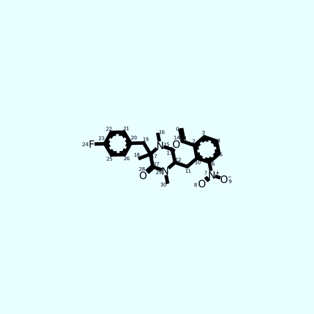 C=Cc1cccc([N+](=O)[O-])c1CC1C(=O)N(C)C(C)(Cc2ccc(F)cc2)C(=O)N1C